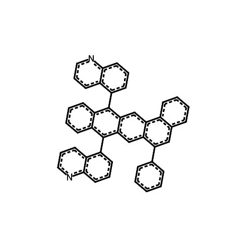 c1ccc(-c2cc3ccccc3c3cc4c(-c5cccc6ncccc56)c5ccccc5c(-c5cccc6ncccc56)c4cc23)cc1